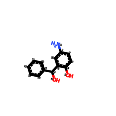 Nc1ccc(O)c(C(O)c2ccccc2)c1